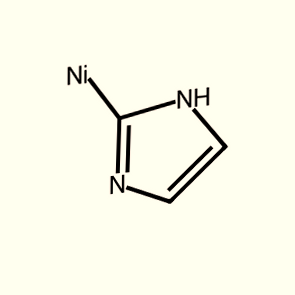 [Ni][c]1ncc[nH]1